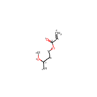 C=CC(=O)OCCC(CC)OCC